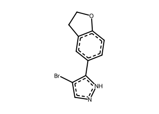 Brc1cn[nH]c1-c1ccc2c(c1)CCO2